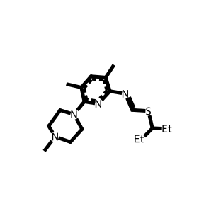 CCC(CC)S/C=N/c1nc(N2CCN(C)CC2)c(C)cc1C